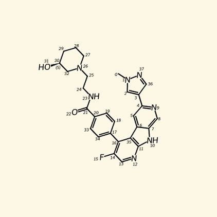 Cn1cc(-c2cc3c(cn2)[nH]c2ncc(F)c(-c4ccc(C(=O)NCCN5CCC[C@H](O)C5)cc4)c23)cn1